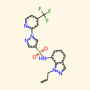 C=CCn1ncc2cccc(NS(=O)(=O)c3cnn(-c4cc(C(F)(F)F)ccn4)c3)c21